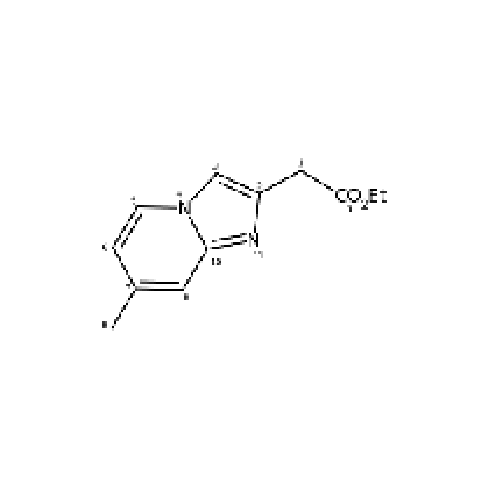 CCOC(=O)Cc1cn2ccc(C)cc2n1